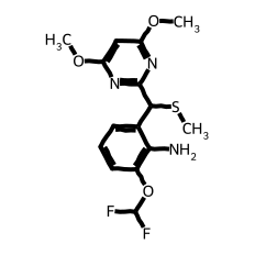 COc1cc(OC)nc(C(SC)c2cccc(OC(F)F)c2N)n1